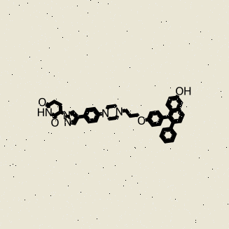 O=C1CCC(n2cc(-c3ccc(N4CCN(CCCOc5ccc(-c6c(-c7ccccc7)ccc7cc(O)ccc67)cc5)CC4)cc3)cn2)C(=O)N1